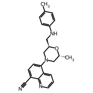 Cc1ccc(NC[C@@H]2CN(c3ccc(C#N)c4ncccc34)C[C@@H](C)O2)cc1